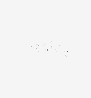 C=C1C=c2nc(OCC3CC3)ccc2=NN1c1ccc2nn(C)cc2c1